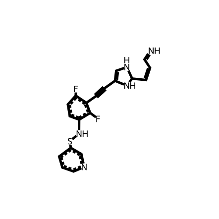 N=C/C=C\C1NC=C(C#Cc2c(F)ccc(NSc3cccnc3)c2F)N1